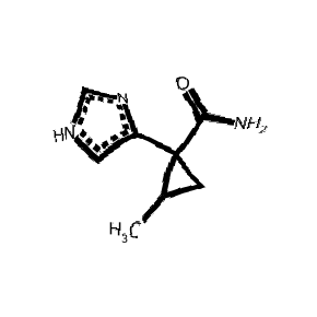 CC1CC1(C(N)=O)c1c[nH]cn1